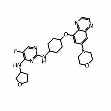 Fc1cnc(NC2CCC(Oc3cc(N4CCOCC4)cc4nccnc34)CC2)nc1NC1CCOC1